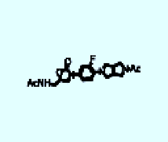 CC(=O)NCC1CN(c2ccc(N3CC4CN(C(C)=O)CC4C3)c(F)c2)C(=O)O1